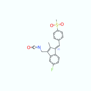 CC1=C(CN=C=O)c2cc(F)ccc2/C1=C/c1ccc(S(C)(=O)=O)cc1